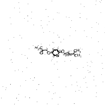 CC(=O)COc1ccc(OCCNC(C)C)nc1